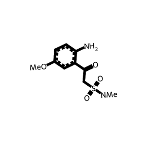 CNS(=O)(=O)CC(=O)c1cc(OC)ccc1N